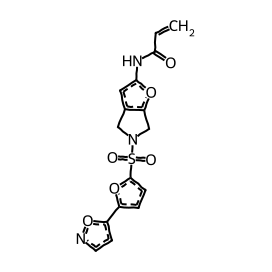 C=CC(=O)Nc1cc2c(o1)CN(S(=O)(=O)c1ccc(-c3ccno3)o1)C2